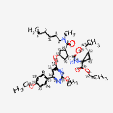 C=CCCCCN(C)C(=O)[C@@H]1C[C@H](Oc2cc(-c3ccc(OC)cc3)nc(OC)n2)C[C@H]1C(=O)N[C@]1(C(=O)OCC)C[C@H]1CC